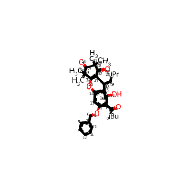 CCC(C)C(=O)c1c(OCc2ccccc2)cc2c(c1O)C(CC(C)C)C1=C(O2)C(C)(C)C(=O)C(C)(C)C1=O